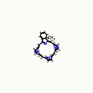 C[C@]12CC=CC=C1c1cc3ccc(cc4nc(cc5ccc(cc2n1)[nH]5)C=C4)[nH]3